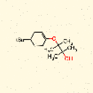 CC(C)(C)C1CC=C(OC(C)(C)C(C)(C)O)CC1